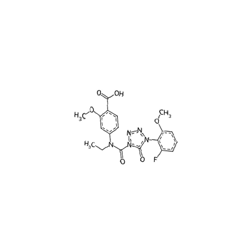 CCN(C(=O)n1nnn(-c2c(F)cccc2OC)c1=O)c1ccc(C(=O)O)c(OC)c1